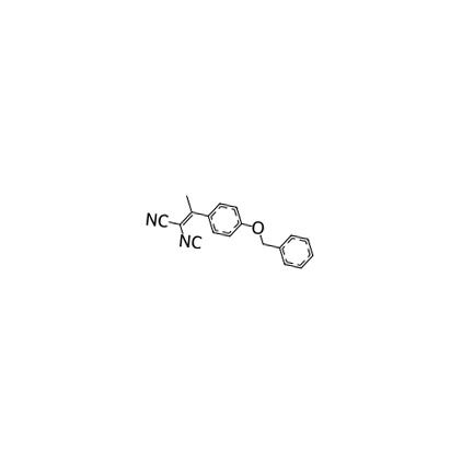 [C-]#[N+]/C(C#N)=C(/C)c1ccc(OCc2ccccc2)cc1